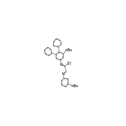 CCCCc1cccc(N=CC(CC)=Nc2cc(CCCC)c(-c3ccccc3)c(-c3ccccc3)c2)c1